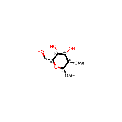 CO[C@H]1O[C@H](CO)[C@H](O)[C@H](O)[C@H]1OC